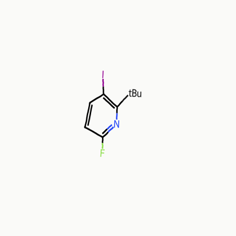 CC(C)(C)c1nc(F)ccc1I